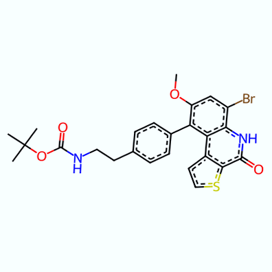 COc1cc(Br)c2[nH]c(=O)c3sccc3c2c1-c1ccc(CCNC(=O)OC(C)(C)C)cc1